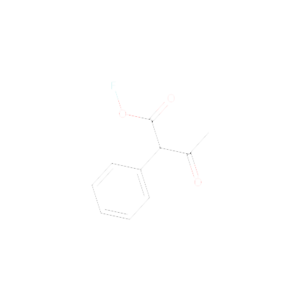 CC(=O)C(C(=O)OF)c1ccccc1